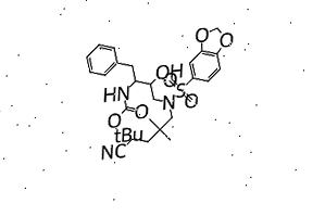 CC(C)(CCC#N)CN(CC(O)C(Cc1ccccc1)NC(=O)OC(C)(C)C)S(=O)(=O)c1ccc2c(c1)OCO2